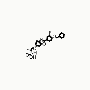 C[C@@H](COc1ccc2nc(-c3ccc(OCc4ccccc4)c(F)c3)oc2c1)NC(=O)O